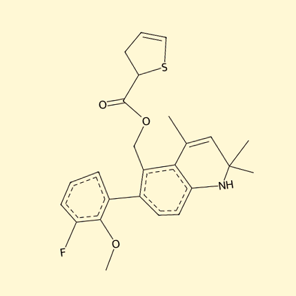 COc1c(F)cccc1-c1ccc2c(c1COC(=O)C1CC=CS1)C(C)=CC(C)(C)N2